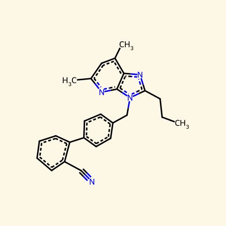 CCCc1nc2c(C)cc(C)nc2n1Cc1ccc(-c2ccccc2C#N)cc1